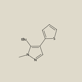 Cn1ncc(-c2cccs2)c1C(C)(C)C